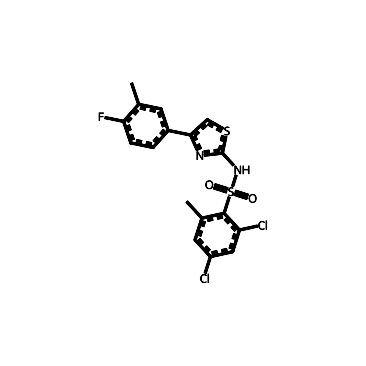 Cc1cc(-c2csc(NS(=O)(=O)c3c(C)cc(Cl)cc3Cl)n2)ccc1F